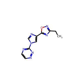 CCc1noc(-c2cn(-c3nccnn3)cn2)n1